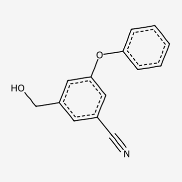 N#Cc1cc(CO)cc(Oc2ccccc2)c1